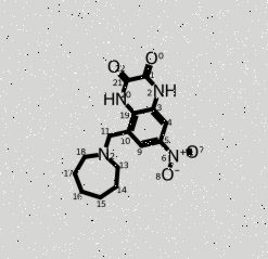 O=c1[nH]c2cc([N+](=O)[O-])cc(CN3CCCCCC3)c2[nH]c1=O